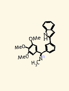 C/N=C(/c1cccc(-c2cc3ccccc3[nH]2)c1)c1cc(OC)c(OC)c(OC)c1